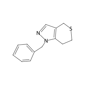 c1ccc(Cn2ncc3c2CCSC3)cc1